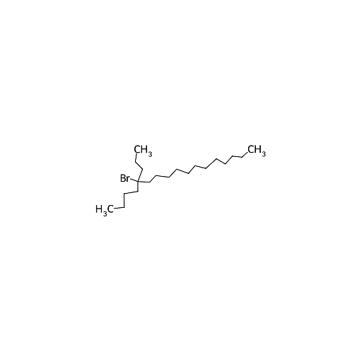 CCCCCCCCCCCCC(Br)(CCC)CCCC